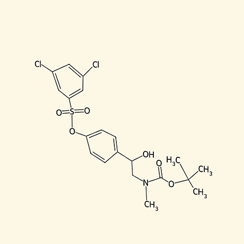 CN(CC(O)c1ccc(OS(=O)(=O)c2cc(Cl)cc(Cl)c2)cc1)C(=O)OC(C)(C)C